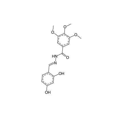 COc1cc(C(=O)NN=Cc2ccc(O)cc2O)cc(OC)c1OC